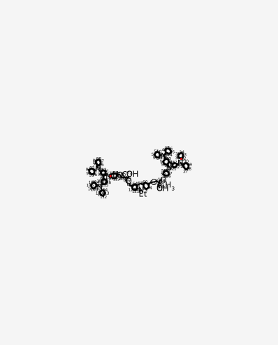 CCN1c2ccc(COCC(C)(CO)COc3ccc(-n4c5ccc(N(c6ccccc6)c6ccccc6)cc5c5cc(N(c6ccccc6)c6ccccc6)ccc54)cc3)cc2Cc2cc(COCC(C)(CO)COc3ccc(-n4c5ccc(N(c6ccccc6)c6ccccc6)cc5c5cc(N(c6ccccc6)c6ccccc6)ccc54)cc3)ccc21